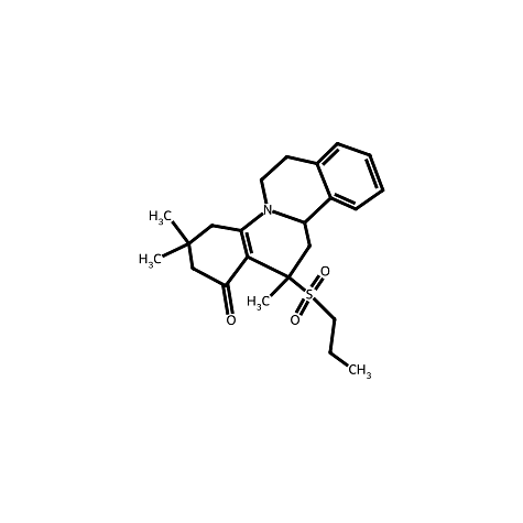 CCCS(=O)(=O)C1(C)CC2c3ccccc3CCN2C2=C1C(=O)CC(C)(C)C2